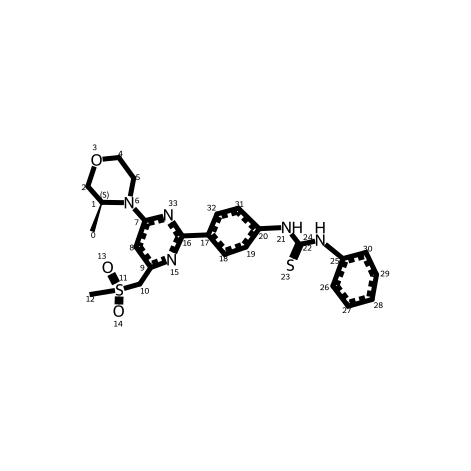 C[C@H]1COCCN1c1cc(CS(C)(=O)=O)nc(-c2ccc(NC(=S)Nc3ccccc3)cc2)n1